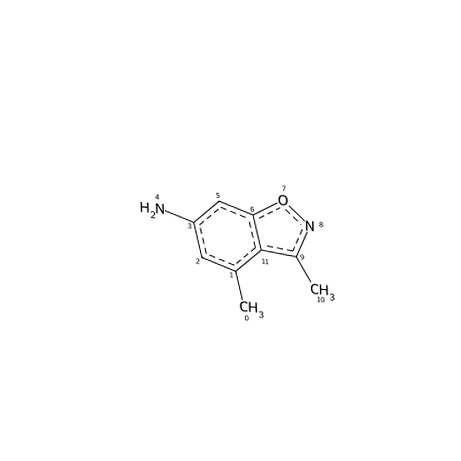 Cc1cc(N)cc2onc(C)c12